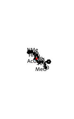 CNC12C3C4C1C1C2C3C41C(=O)N[C@H](C(=O)N(C)[C@H](C[C@@H](OC(C)=O)c1nc(C(=O)N[C@@H](Cc2ccccc2)C[C@H](C)C(=O)OC)cs1)C(C)C)C1CC1